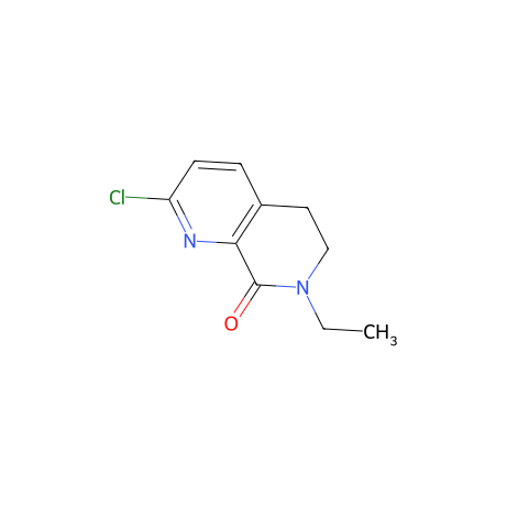 CCN1CCc2ccc(Cl)nc2C1=O